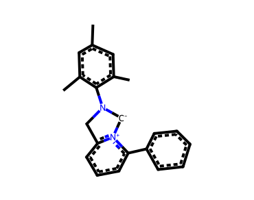 Cc1cc(C)c(N2[CH-][n+]3c(cccc3-c3ccccc3)C2)c(C)c1